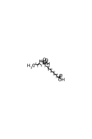 CCC=CC[C@H]1[C@H](CC=CCCCCCCC(=O)O)[C@H]2C[C@H]1OO2